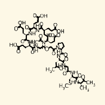 CSC[C@H](NC(=O)CNC(=O)[C@H](CC(C)C)NC(=O)[C@@H]1CCCN1C(=O)COCCNC(=O)[C@@H](CCC(=O)O)NC(=O)[C@@H](CCC(=O)O)NC(=O)[C@@H](CCC(=O)O)NC(=O)[C@@H](CCC(=O)O)CC(=O)[C@@H](CCC(=O)O)NC(C)=O)C(=O)N[C@@H](C)C(C)=O